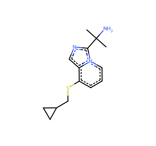 CC(C)(N)c1ncc2c(SCC3CC3)cccn12